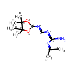 C\C(=N/C(N)=N\C=N\B1OC(C)(C)C(C)(C)O1)C(F)(F)F